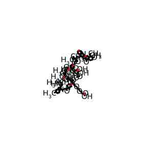 CC[C@@]1(O)C(=O)CCc2c1cc1n(c2=O)Cc2c-1nc1ccccc1c2CCN(C(=O)OCc1ccc(NC(=O)[C@H](C)NC(=O)[C@@H](NC(=O)CCC(=O)N(CCOCCOCCC(=O)O)C2CCN(C(=O)CCn3c(CN(C)NC)cc4cc(C)ccc43)CC2)C(C)C)c(O[C@@H]2O[C@H](C(=O)O)[C@@H](O)[C@H](O)[C@H]2O)c1)C(C)C